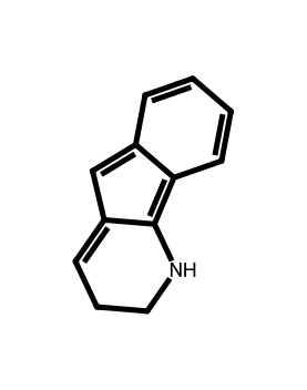 C1=C2C=c3ccccc3=C2NCC1